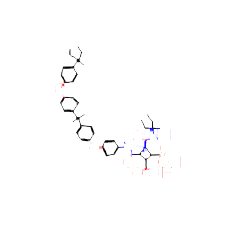 CCC(C)(CC)NC(=O)C1C(C(=O)O)C(C(=O)O)C1C(=O)Nc1ccc(Oc2ccc(C(C)(C)c3ccc(Oc4ccc(C(C)(CC)CC)cc4)cc3)cc2)cc1